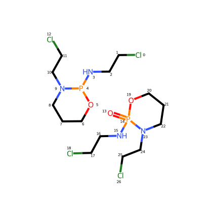 ClCCNP1OCCCN1CCCl.O=P1(NCCCl)OCCCN1CCCl